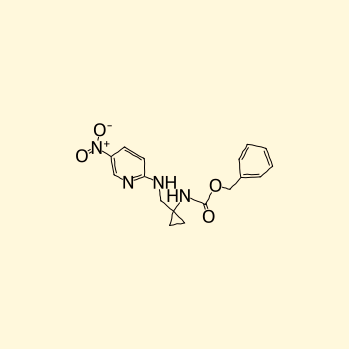 O=C(NC1(CNc2ccc([N+](=O)[O-])cn2)CC1)OCc1ccccc1